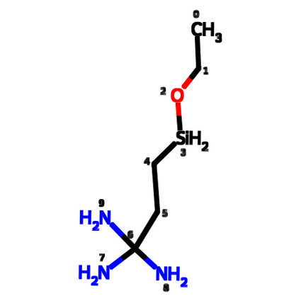 CCO[SiH2]CCC(N)(N)N